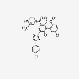 CCOc1ccc(Cl)cc1-n1c(CC(C)C)c(C(=O)N2CCN[C@H](C)C2)cc(-c2nc(-c3ccc(Cl)cc3)cs2)c1=O